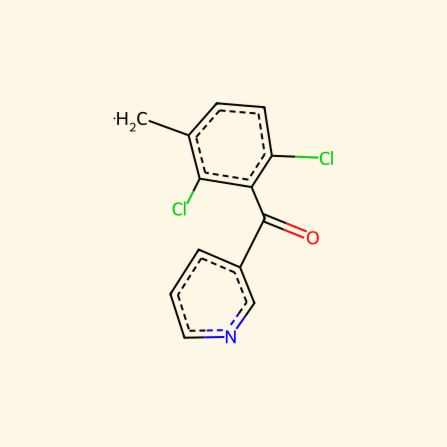 [CH2]c1ccc(Cl)c(C(=O)c2cccnc2)c1Cl